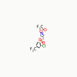 O=C(ON1CC(CS(=O)(=O)c2ccc(C(F)(F)F)cc2Cl)C1)C(F)(F)F